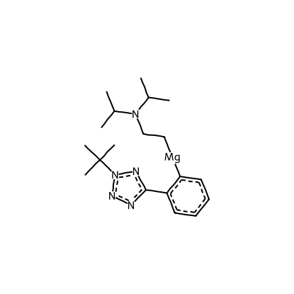 CC(C)N(C[CH2][Mg][c]1ccccc1-c1nnn(C(C)(C)C)n1)C(C)C